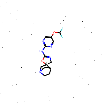 FC(F)Oc1cnc(NC2=NC[C@@]3(CN4CCC3CC4)O2)nc1